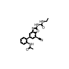 CCNC(=O)Nc1nc2cc(-c3ccccc3NC(C)=O)cc(C#N)c2o1